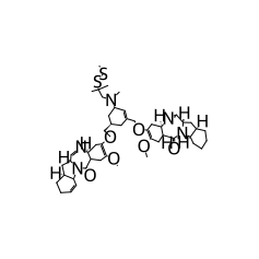 COC1=C(OC[C@@H]2CC(COC3=C(OC)C[C@@H]4C(=O)N5[C@H](C=N[C@@H]4C3)C[C@H]3CCCC[C@H]35)=C[C@H](N(C)CC(C)(C)SSC)C2)C[C@@H]2N=C[C@@H]3C[C@@H]4CCC=CC4N3C(=O)C2C1